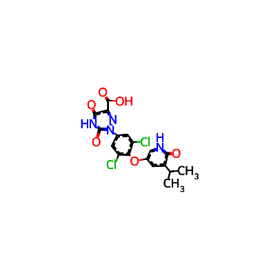 CC(C)c1cc(Oc2c(Cl)cc(-n3nc(C(=O)O)c(=O)[nH]c3=O)cc2Cl)c[nH]c1=O